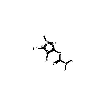 CN(C)C(=O)Oc1nn(C)c(C#N)c1Br